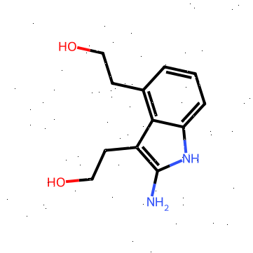 Nc1[nH]c2cccc(CCO)c2c1CCO